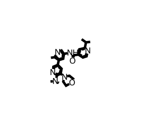 Cc1ncc(NC(=O)c2ccnc(C(C)C)c2)cc1-c1cnc(N(C)C)c(N2CCOCC2)c1